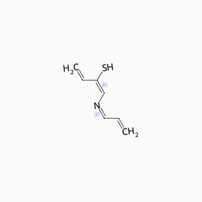 C=C/C=N\C=C(\S)C=C